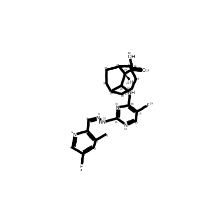 Cc1cc(F)cnc1/C=N\Nc1ncc(F)c(NC2C3CCCCC(CC3)[C@@H]2C(=O)O)n1